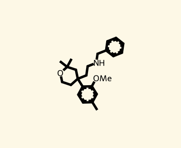 COc1cc(C)ccc1C1(CCNCc2ccccc2)CCOC(C)(C)C1